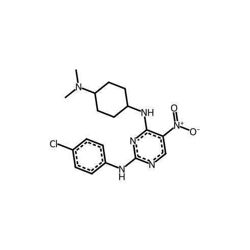 CN(C)C1CCC(Nc2nc(Nc3ccc(Cl)cc3)ncc2[N+](=O)[O-])CC1